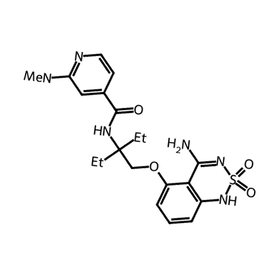 CCC(CC)(COc1cccc2c1C(N)=NS(=O)(=O)N2)NC(=O)c1ccnc(NC)c1